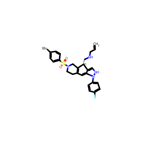 C=CCNC[C@@H]1C2=CNN(c3ccc(F)cc3)C2=CC2=C1CN(S(=O)(=O)c1ccc(C(C)(C)C)cc1)CC2